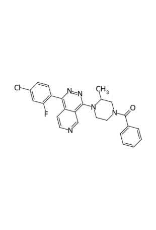 CC1CN(C(=O)c2ccccc2)CCN1c1nnc(-c2ccc(Cl)cc2F)c2ccncc12